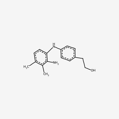 Cc1ccc(Nc2ccc(CCO)cc2)c(N)c1C